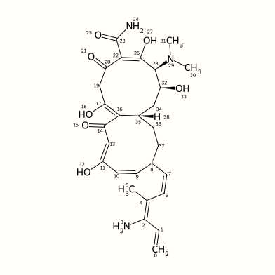 C=C/C(N)=C(C)\C=C/I1/C=C\C(O)=C\C(=O)/C2=C(\O)CC(=O)/C(C(N)=O)=C(/O)[C@@H](N(C)C)[C@@H](O)C[C@@H]2CC1